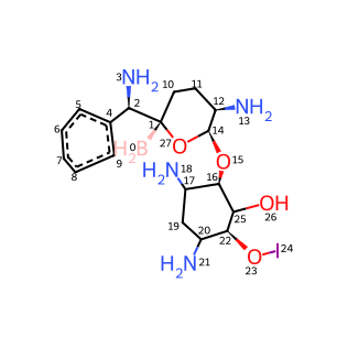 B[C@@]1([C@H](N)c2ccccc2)CC[C@@H](N)[C@@H](O[C@@H]2C(N)CC(N)[C@H](OI)C2O)O1